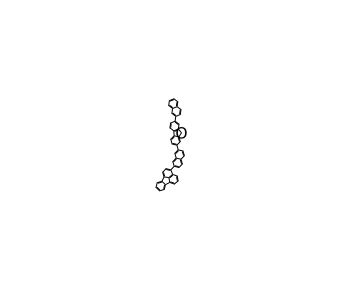 c1ccc2c(c1)-c1cccc3c(-c4ccc5ccc(-c6ccc7c(c6)oc6cc(-c8ccc9ccccc9c8)ccc67)cc5c4)ccc-2c13